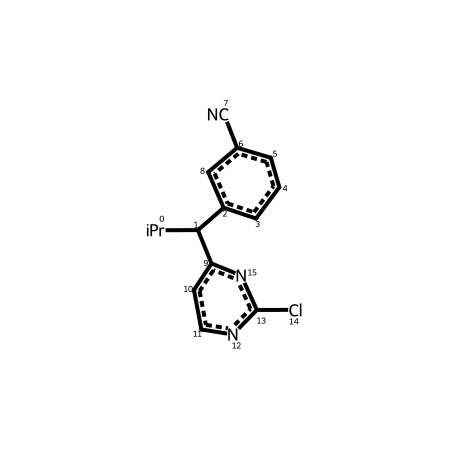 CC(C)C(c1cccc(C#N)c1)c1ccnc(Cl)n1